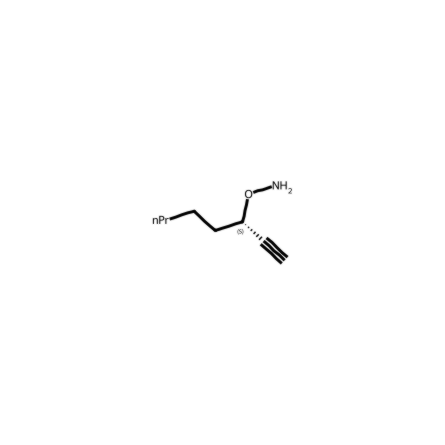 C#C[C@H](CCCCC)ON